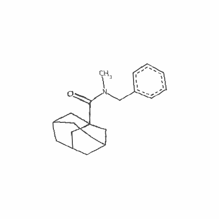 CN(Cc1ccccc1)C(=O)C12CC3CC(CC(C3)C1)C2